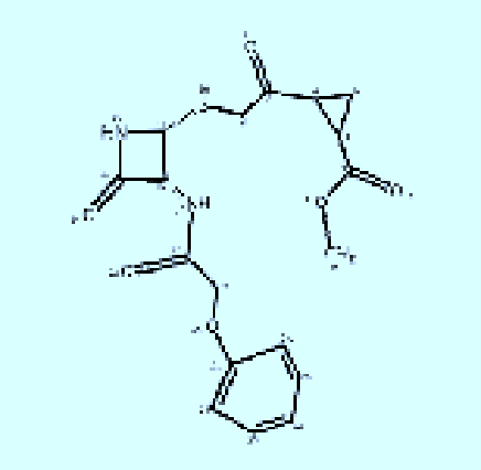 COC(=O)C1CC1C(=O)CS[C@H]1NC(=O)[C@H]1NC(=O)COc1ccccc1